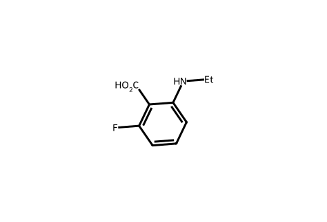 CCNc1cccc(F)c1C(=O)O